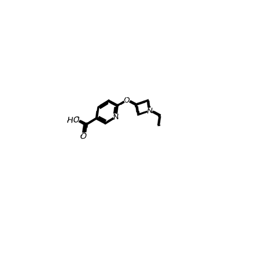 CCN1CC(Oc2ccc(C(=O)O)cn2)C1